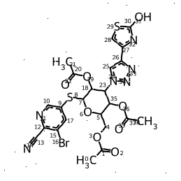 CC(=O)OCC1OC(Sc2cnc(C#N)c(Br)c2)C(OC(C)=O)C(n2cc(-c3csc(O)n3)nn2)C1OC(C)=O